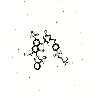 O=S(=O)(O)OCCS(=O)(=O)c1ccc(Nc2nc(Cl)nc(Nc3cc(S(=O)(=O)O)cc4cc(SO)c(/N=N/c5ccccc5S(=O)(=O)O)c(O)c34)n2)cc1